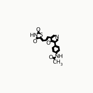 CC(=O)Nc1ccc(-c2cncc3cc(/C=C4\SC(=O)NC4=O)oc23)cc1